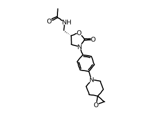 CC(=O)NC[C@H]1CN(c2ccc(N3CCC4(CC3)CO4)cc2)C(=O)O1